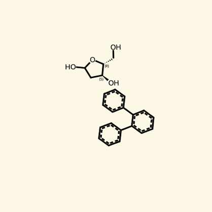 OC[C@H]1OC(O)C[C@@H]1O.c1ccc(-c2ccccc2-c2ccccc2)cc1